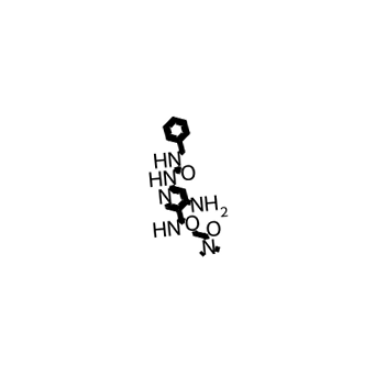 CN(C)C(=O)COC(=N)c1cnc(NC(=O)NCc2ccccc2)cc1N